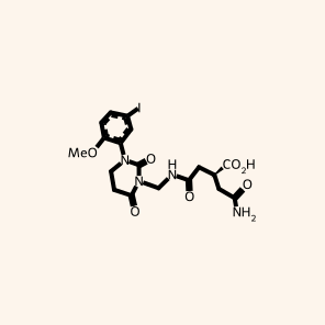 COc1ccc(I)cc1N1CCC(=O)N(CNC(=O)C[C@H](CC(N)=O)C(=O)O)C1=O